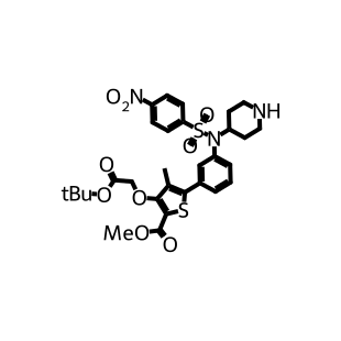 COC(=O)c1sc(-c2cccc(N(C3CCNCC3)S(=O)(=O)c3ccc([N+](=O)[O-])cc3)c2)c(C)c1OCC(=O)OC(C)(C)C